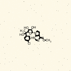 CON=c1nc[nH]c2c1ccn2[C@@H]1OC([C@](C)(O)c2ccc(Cl)cc2)[C@@H](O)[C@H]1O